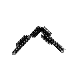 Cl.Cl.Cl.Cl.Cl.Cl.Cl.Cl.Cl.Cl.Cl.Cl.Cl.Cl.Cl.Cl.Cl.Cl.Cl.Cl.Cl.Cl.Cl.Cl.Cl.Cl.[Cl-].[Cl-].[Cl-].[Cl-].[Cl-].[Cl-].[Cl-].[Cl-].[Cl-].[Cl-].[Cl-].[Cl-].[Cl-].[Cl-].[Cl-].[Cl-].[Cl-].[Cl-].[Cl-].[Cl-].[Cl-].[Cl-].[Cl-].[Cl-].[Na+].[Na+].[Na+].[Na+].[Na+].[Na+].[Na+].[Na+].[Na+].[Na+].[Na+].[Na+].[Na+].[Na+].[Na+].[Na+].[Na+].[Na+].[Na+].[Na+].[Na+].[Na+].[Na+].[Na+]